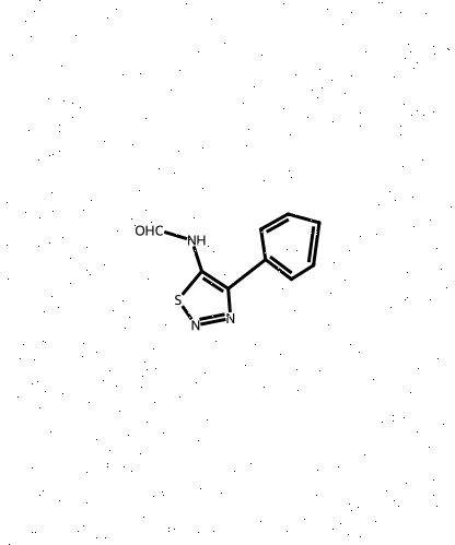 O=CNc1snnc1-c1ccccc1